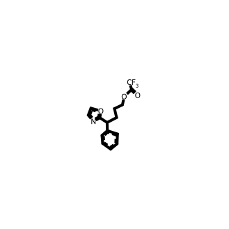 O=C(OCCCC(c1ccccc1)c1ncco1)C(F)(F)F